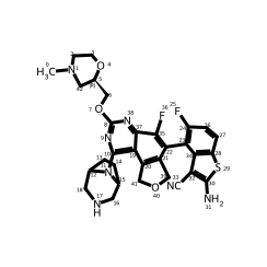 CN1CCO[C@@H](COc2nc(N3C4CCC3CNC4)c3c4c(c(-c5c(F)ccc6sc(N)c(C#N)c56)c(F)c3n2)COC4)C1